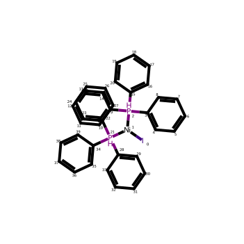 [I][Ni]([PH](c1ccccc1)(c1ccccc1)c1ccccc1)[PH](c1ccccc1)(c1ccccc1)c1ccccc1